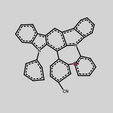 N#Cc1ccc(-c2c3c(cc4c5ccccc5n(-c5ccccc5)c24)c2ccccc2n3-c2ccccc2)c(C#N)c1